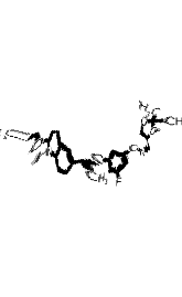 CCOC1=CC=C2C=C(C(C)Oc3cc(F)cc(O/N=C\[C@H]4COC(C)(C)O4)c3)C=CC2N1